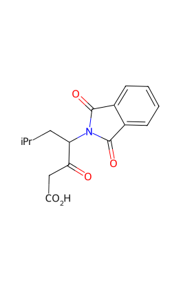 CC(C)CC(C(=O)CC(=O)O)N1C(=O)c2ccccc2C1=O